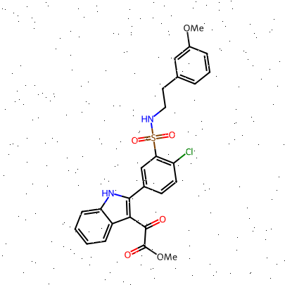 COC(=O)C(=O)c1c(-c2ccc(Cl)c(S(=O)(=O)NCCc3cccc(OC)c3)c2)[nH]c2ccccc12